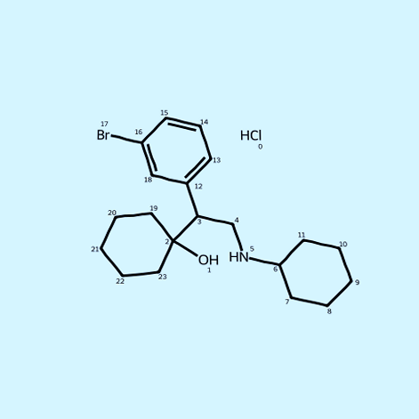 Cl.OC1(C(CNC2CCCCC2)c2cccc(Br)c2)CCCCC1